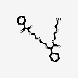 O=C(OCCOCCOC(C(=O)OCCOCCO)c1ccccc1)C(=O)c1ccccc1